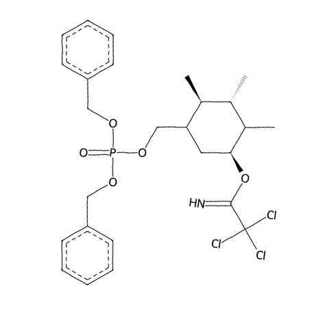 CC1[C@@H](OC(=N)C(Cl)(Cl)Cl)CC(COP(=O)(OCc2ccccc2)OCc2ccccc2)[C@@H](C)[C@@H]1C